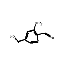 N=Cc1ccc(CO)cc1N